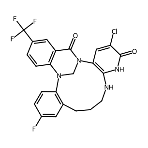 O=C1c2cc(C(F)(F)F)ccc2N2CN1c1cc(Cl)c(=O)[nH]c1NCCCc1cc(F)ccc12